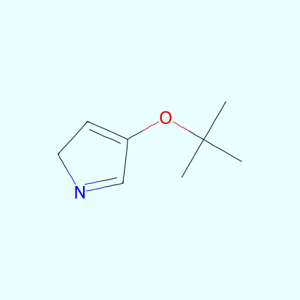 CC(C)(C)OC1=CCN=C1